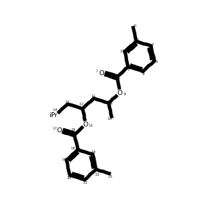 Cc1cccc(C(=O)OC(C)CC(CC(C)C)OC(=O)c2cccc(C)c2)c1